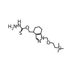 C[Si](C)(C)CCOCn1ncc2c1CCCC2COC(=S)NN